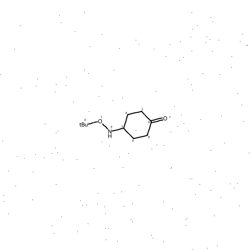 CC(C)(C)ONC1CCC(=O)CC1